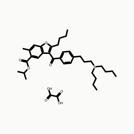 CCCCc1oc2cc(C)c(C(=O)OC(C)C)cc2c1C(=O)c1ccc(CCCN(CCCC)CCCC)cc1.O=C(O)C(=O)O